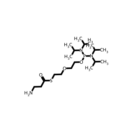 CC(C)N(C(C)C)P(OCCOCCSC(=O)CCN)N(C(C)C)C(C)C